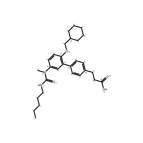 CCCCCNC(=O)N(C)c1ccc(OCC2CCCCC2)c(-c2ccc(CCC(=O)O)cc2)c1